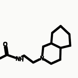 CC(=O)NCCN1CCC2CCCCC2C1